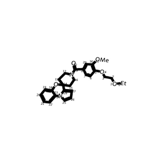 CCOCCOc1ccc(C(=O)N2CCC3(CC2)Oc2ccccc2-n2cccc23)cc1OC